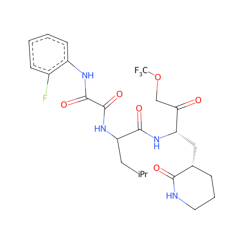 CC(C)CC(NC(=O)C(=O)Nc1ccccc1F)C(=O)N[C@@H](C[C@@H]1CCCNC1=O)C(=O)COC(F)(F)F